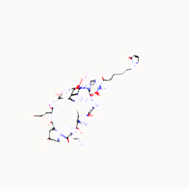 CC[C@H](C)[C@@H]1NC(=O)CNC(=O)[C@H]2Cc3c([nH]c4c(N5CCN(NC(=O)CCCCCN6C(=O)C=CC6=O)CC5)c(O)ccc34)SC[C@H](NC(=O)CNC1=O)C(=O)N[C@@H](CC(N)=O)C(=O)N1C[C@H](O)C[C@H]1C(=O)N[C@@H]([C@@H](C)[C@@H](O)CO)C(=O)N2